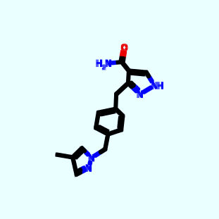 Cc1cnn(Cc2ccc(Cc3n[nH]cc3C(N)=O)cc2)c1